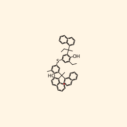 CCc1cc(Sc2cc(C)c(O)c(C(C)(c3cccc4ccccc34)c3cccc4ccccc34)c2)cc(C(C)(CC)c2cccc3ccccc23)c1O